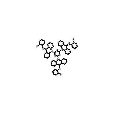 Fc1ccccc1N=c1c2ccccc2n(-c2nc(-n3c4ccccc4c(=Nc4ccccc4F)c4ccccc43)nc(-n3c4ccccc4c(=Nc4ccccc4F)c4ccccc43)n2)c2ccccc12